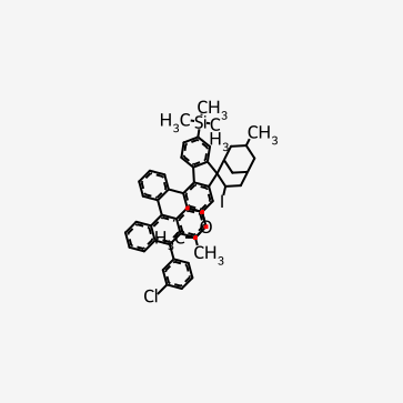 CC1CC2CC(I)C3(c4cc([Si](C)(C)C)ccc4-c4c(-c5ccccc5-c5c6ccccc6c(-c6cccc(Cl)c6)c6ccccc56)cc(OC(C)C)cc43)C(C1)C2